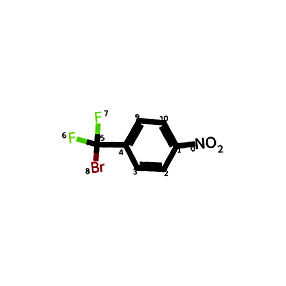 O=[N+]([O-])c1ccc(C(F)(F)Br)cc1